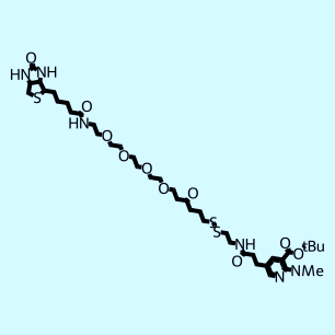 CNc1ncc(CCC(=O)NCCSSCCCC(=O)CCOCCOCCOCCOCCNC(=O)CCCCC2SCC3NC(=O)NC32)cc1C(=O)OC(C)(C)C